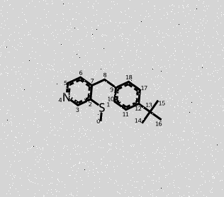 CSc1cnccc1Cc1ccc(C(C)(C)C)cc1